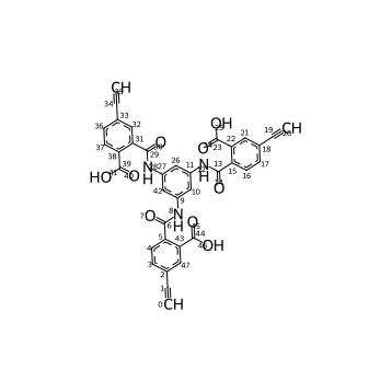 C#Cc1ccc(C(=O)Nc2cc(NC(=O)c3ccc(C#C)cc3C(=O)O)cc(NC(=O)c3cc(C#C)ccc3C(=O)O)c2)c(C(=O)O)c1